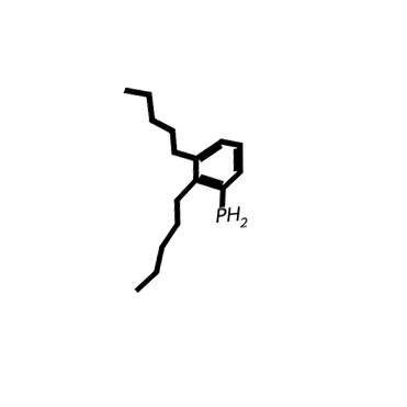 CCCCCc1cccc(P)c1CCCCC